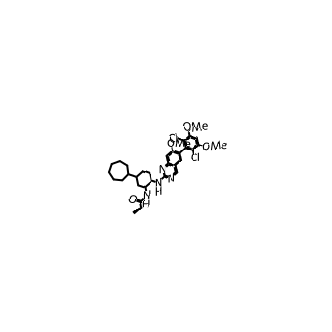 C=CC(=O)NC1CC(C2CCCCCC2)CCC1Nc1ncc2cc(-c3c(Cl)c(OC)cc(OC)c3Cl)c(OC)cc2n1